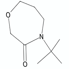 CC(C)(C)N1CCCOCC1=O